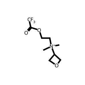 C[N+](C)(CCOC(=O)C(F)(F)F)C1COC1